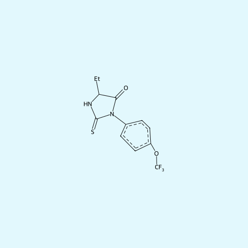 CCC1NC(=S)N(c2ccc(OC(F)(F)F)cc2)C1=O